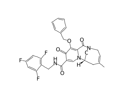 CC1=CCN2C[C@H](C1)n1cc(C(=O)NCc3c(F)cc(F)cc3F)c(=O)c(OCc3ccccc3)c1C2=O